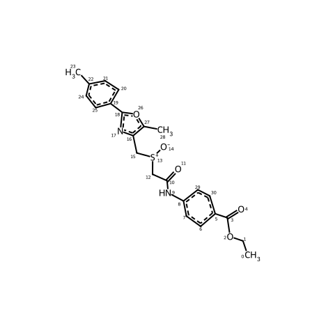 CCOC(=O)c1ccc(NC(=O)C[S+]([O-])Cc2nc(-c3ccc(C)cc3)oc2C)cc1